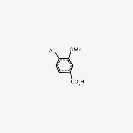 COc1cc(C(=O)O)ccc1C(C)=O